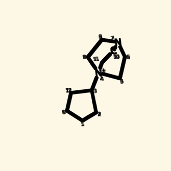 C1CCC([N+]23CCN(CC2)CC3)C1